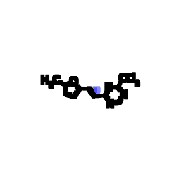 Cc1ccc(/C=C/c2ncnc(C(Cl)(Cl)Cl)n2)o1